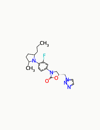 CCCC1CCC(C)N1c1ccc(N2C[C@H](Cn3ccnn3)OC2=O)cc1F